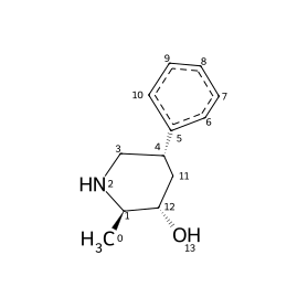 C[C@H]1NC[C@H](c2ccccc2)C[C@@H]1O